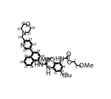 COCCOC(=O)Nc1cc(C(C)(C)C)cc(NC(=O)Nc2ccc(-c3ccc(CN4CCOCC4)nc3)c3ccccc23)c1OC